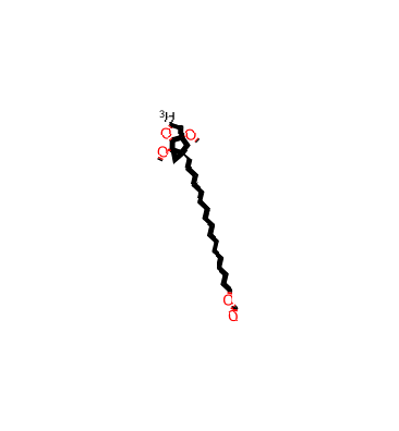 [3H][C@H]1C[C@@]2(OC)C[C@]3(CCCCCCCCCCCCCCCCCOC=O)C[C@]3(OC)C2O1